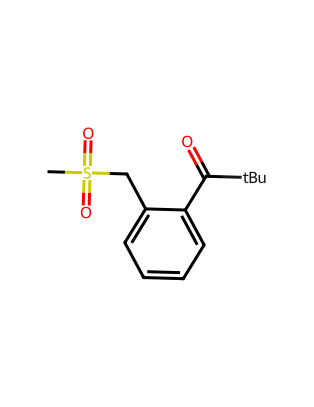 CC(C)(C)C(=O)c1ccccc1CS(C)(=O)=O